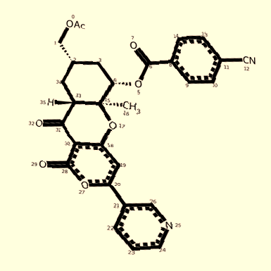 CC(=O)OC[C@@H]1C[C@H](OC(=O)c2ccc(C#N)cc2)[C@@]2(C)Oc3cc(-c4cccnc4)oc(=O)c3C(=O)[C@@H]2C1